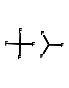 FC(F)(F)F.FC(F)F